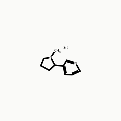 CN1CCCC1c1cccnc1.[Sn]